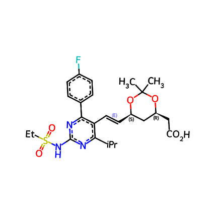 CCS(=O)(=O)Nc1nc(-c2ccc(F)cc2)c(/C=C/[C@@H]2C[C@H](CC(=O)O)OC(C)(C)O2)c(C(C)C)n1